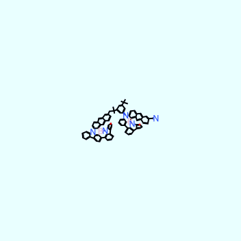 CC(C)(C)c1cc(N2c3cccc4c3B(c3c2ccc2cc5cc(C#N)ccc5cc32)n2c3ccccc3c3cccc-4c32)cc(C(C)(C)Cc2ccc3cc4c5c(ccc4cc3c2)-n2c3ccccc3c3ccc4c(c32)B5n2c3ccccc3c3cccc-4c32)c1